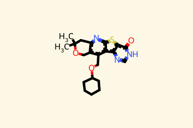 CC1(C)Cc2nc3sc4c(=O)[nH]cnc4c3c(COC3CCCCC3)c2CO1